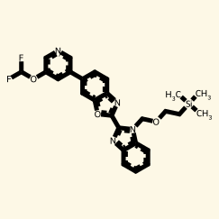 C[Si](C)(C)CCOCn1c(-c2nc3ccc(-c4cncc(OC(F)F)c4)cc3o2)nc2ccccc21